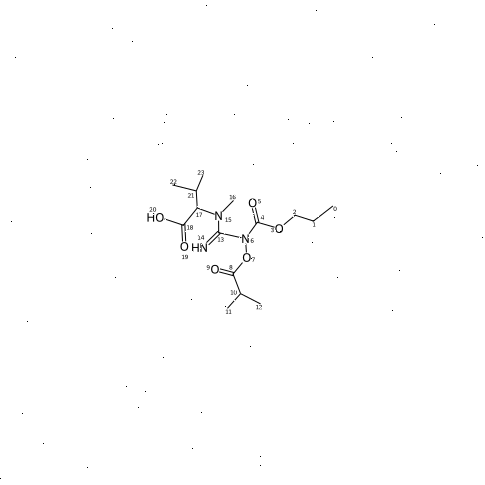 CCCOC(=O)N(OC(=O)C(C)C)C(=N)N(C)C(C(=O)O)C(C)C